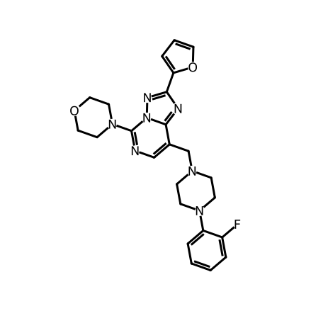 Fc1ccccc1N1CCN(Cc2cnc(N3CCOCC3)n3nc(-c4ccco4)nc23)CC1